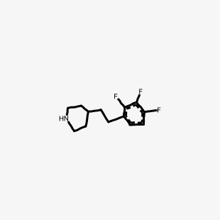 Fc1ccc(CCC2CCNCC2)c(F)c1F